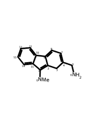 CNC1=C2CC(CN)=CC=C2c2ccccc21